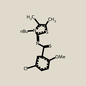 CCCCn1c(C)c(C)s/c1=N\C(=S)c1cc(Cl)ccc1OC